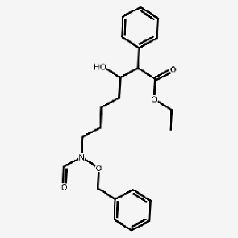 CCOC(=O)C(c1ccccc1)C(O)CCCCN(C=O)OCc1ccccc1